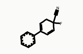 N#CC1(F)C=CC(c2ccccc2)=CC1